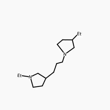 CCC1CCN(CCCC2CCN(CC)C2)C1